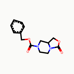 O=C(OCc1ccccc1)N1CCN2C(=O)OCC2C1